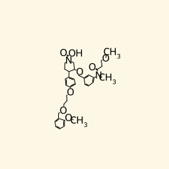 COCCC(=O)N(C)c1cccc(COC2CN(C(=O)O)CCC2c2ccc(OCCCOCc3ccccc3OC)cc2)c1